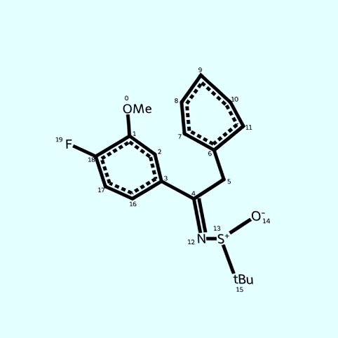 COc1cc(/C(Cc2ccccc2)=N/[S+]([O-])C(C)(C)C)ccc1F